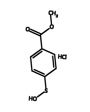 COC(=O)c1ccc(SO)cc1.Cl